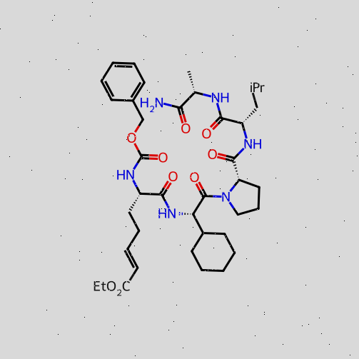 CCOC(=O)/C=C/CC[C@H](NC(=O)OCc1ccccc1)C(=O)N[C@H](C(=O)N1CCC[C@H]1C(=O)N[C@@H](CC(C)C)C(=O)N[C@@H](C)C(N)=O)C1CCCCC1